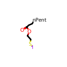 CCCCCCCC(=O)OCCSI